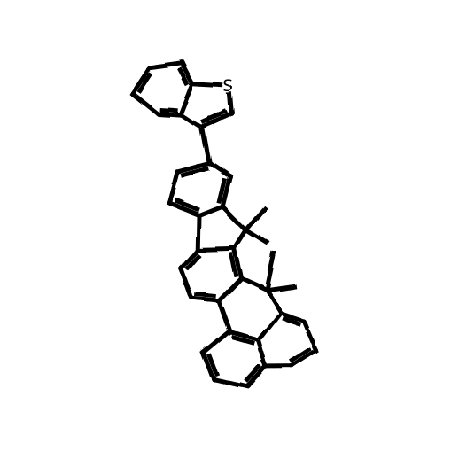 CC1(C)c2cc(-c3csc4ccccc34)ccc2-c2ccc3c(c21)C(C)(C)c1cccc2cccc-3c12